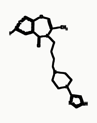 CC1=COc2ccc(F)cc2C(=O)N1CCCCN1CCN(c2c[nH]cn2)CC1